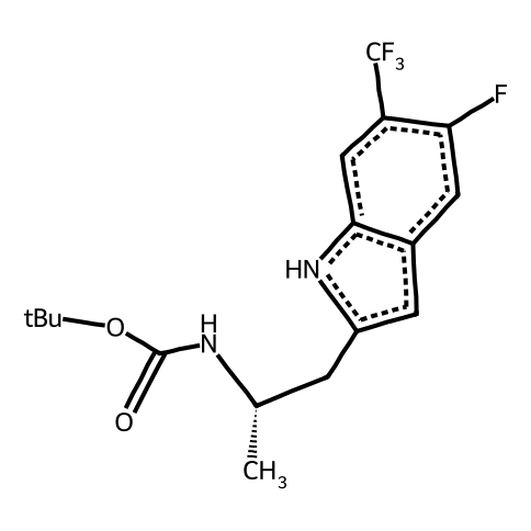 C[C@@H](Cc1cc2cc(F)c(C(F)(F)F)cc2[nH]1)NC(=O)OC(C)(C)C